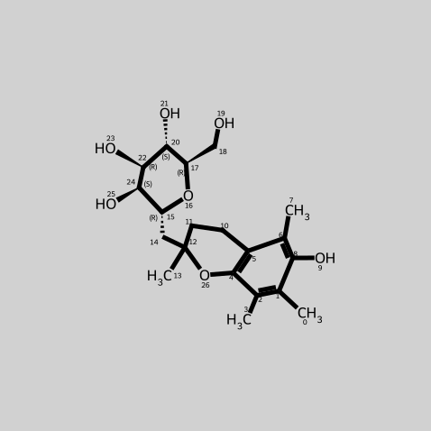 Cc1c(C)c2c(c(C)c1O)CCC(C)(C[C@H]1O[C@H](CO)[C@@H](O)[C@H](O)[C@@H]1O)O2